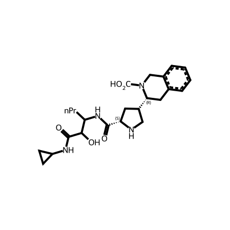 CCCC(NC(=O)[C@@H]1CC([C@H]2Cc3ccccc3CN2C(=O)O)CN1)C(O)C(=O)NC1CC1